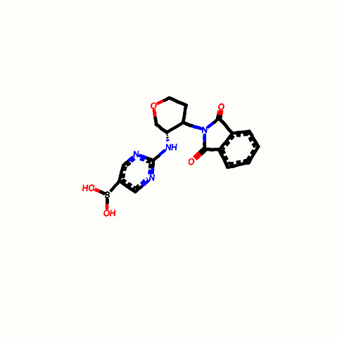 O=C1c2ccccc2C(=O)N1C1CCOC[C@H]1Nc1ncc(B(O)O)cn1